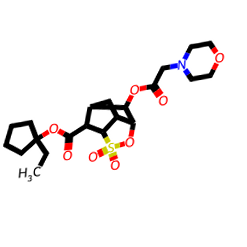 CCC1(OC(=O)C2C3CC4C(OS(=O)(=O)C42)C3OC(=O)CN2CCOCC2)CCCC1